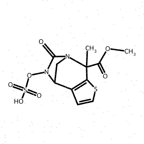 COC(=O)C1(C)c2sccc2C2CN1C(=O)N2OS(=O)(=O)O